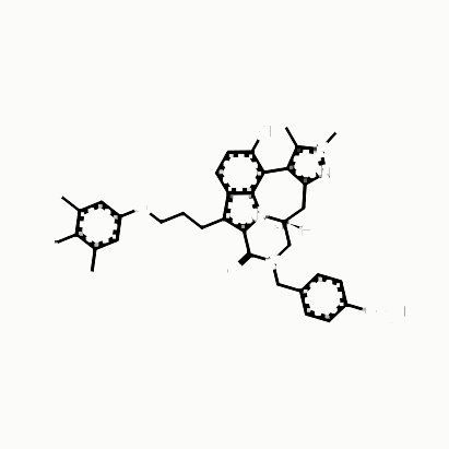 Cc1cc(OCCCc2c3n4c5c(c(Cl)ccc25)-c2c(nn(C)c2C)C[C@@H]4CN(Cc2ccc(C(=O)O)cc2)C3=O)cc(C)c1Cl